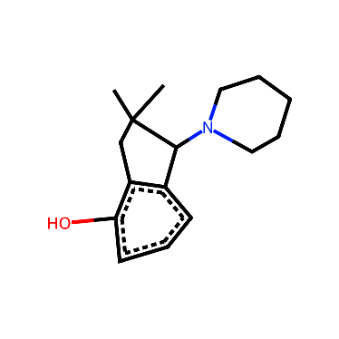 CC1(C)Cc2c(O)cccc2C1N1CCCCC1